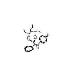 CCCC(CCC)[C@H](CC)OC(=O)C(Nc1ccc(F)cc1)c1ccccc1